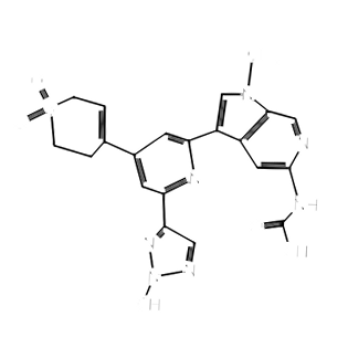 CC(=O)Nc1cc2c(-c3cc(C4=CCS(=O)(=O)CC4)cc(-c4cnn(C)n4)n3)cn(C)c2cn1